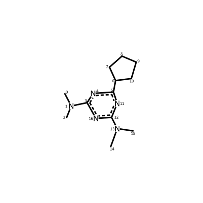 CN(C)c1nc(C2CCCC2)nc(N(C)C)n1